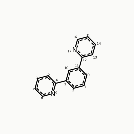 [c]1ccc(-c2ccccn2)cc1-c1ccccn1